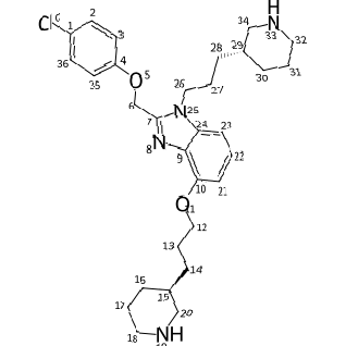 Clc1ccc(OCc2nc3c(OCCC[C@@H]4CCCNC4)cccc3n2CCC[C@H]2CCCNC2)cc1